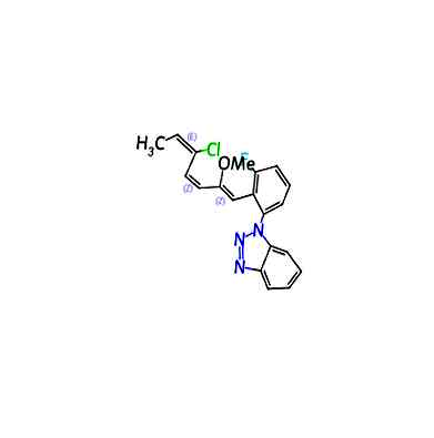 C\C=C(Cl)/C=C\C(=C\c1c(F)cccc1-n1nnc2ccccc21)OC